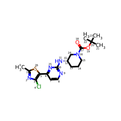 Cc1nc(Cl)c(-c2ccnc(N[C@H]3CCCN(C(=O)OC(C)(C)C)C3)n2)s1